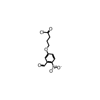 O=Cc1cc(OCCCC(=O)Cl)ccc1[N+](=O)[O-]